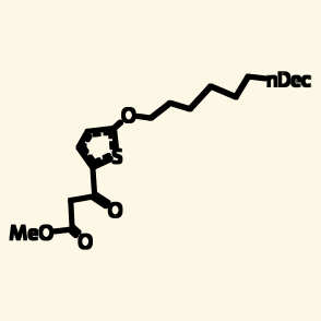 CCCCCCCCCCCCCCCCOc1ccc(C(=O)CC(=O)OC)s1